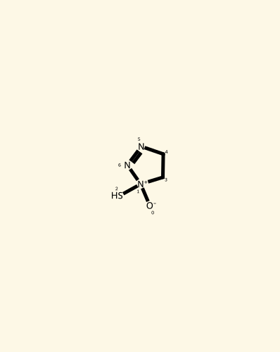 [O-][N+]1(S)CCN=N1